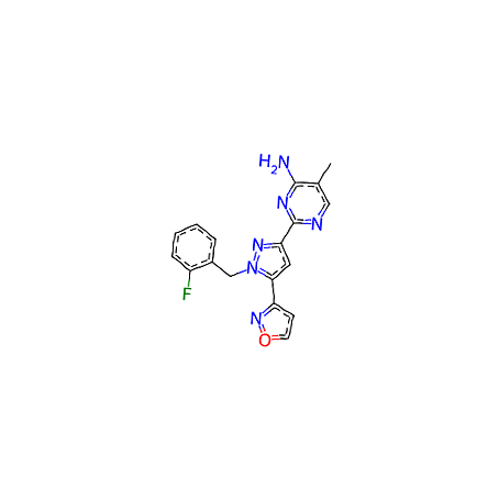 Cc1cnc(-c2cc(-c3ccon3)n(Cc3ccccc3F)n2)nc1N